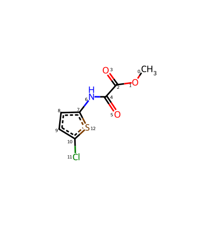 COC(=O)C(=O)Nc1ccc(Cl)s1